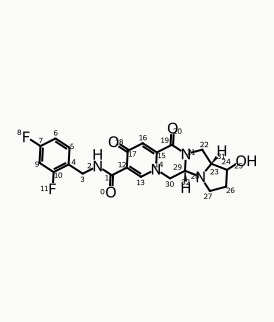 O=C(NCc1ccc(F)cc1F)c1cn2c(cc1=O)C(=O)N1C[C@@H]3C(O)CCN3[C@@H]1C2